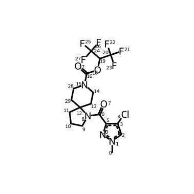 Cn1cc(Cl)c(C(=O)N2CCCC23CCN(C(=O)OC(C(F)(F)F)C(F)(F)F)CC3)n1